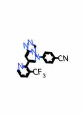 N#Cc1ccc(N2C=C(c3ncccc3C(F)(F)F)C=C3N=NCN32)cc1